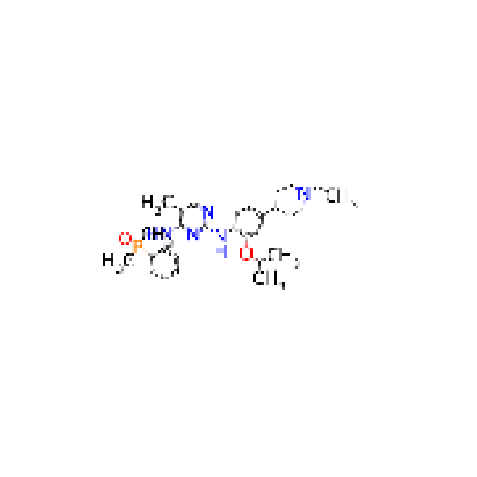 CCN1CCC(c2ccc(Nc3ncc(C)c(Nc4ccccc4P(C)(C)=O)n3)c(OC(C)C)c2)CC1